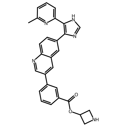 Cc1cccc(-c2[nH]cnc2-c2ccc3ncc(-c4cccc(C(=O)OC5CNC5)c4)cc3c2)n1